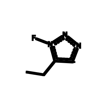 CCc1[c]nnn1F